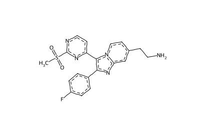 CS(=O)(=O)c1nccc(-c2c(-c3ccc(F)cc3)nc3cc(CCN)ccn23)n1